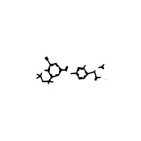 C#Cc1cc(C(=O)Oc2ccc(C(OC(C)=O)C(=O)OC)c(F)c2)cc2c1OC(C)(C)CC2(C)C